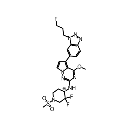 COc1nc(N[C@@H]2CCN(S(C)(=O)=O)CC2(F)F)nn2ccc(-c3ccc4nnn(CCCF)c4c3)c12